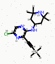 CC1(C)CC(Nc2ncc(Cl)nc2C#C[Si](C)(C)C)CC(C)(C)N1